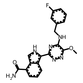 COc1nnc(-c2[nH]cc3c(C(N)=O)cccc23)nc1NCc1cccc(F)c1